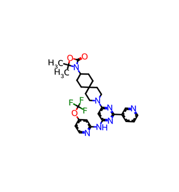 CC1(C)OC(=O)N1C1CCC2(CC1)CCN(c1cc(Nc3cc(OC(F)(F)F)ccn3)nc(-c3cccnc3)n1)CC2